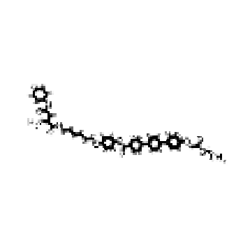 C=COC(=O)COc1ccc(-c2ccc(-c3ccc(C(=O)Oc4ccc(OCCCCCCOC(=O)C(=C)CC(=O)OC5CCCCC5)cc4)cc3)cc2)cc1